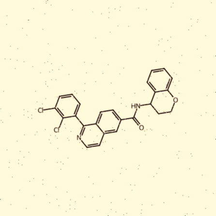 O=C(NC1CCOc2ccccc21)c1ccc2c(-c3cccc(Cl)c3Cl)nccc2c1